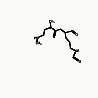 CNCCN(C)C(=O)CC(C=O)SCCNC=O